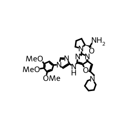 COc1cc(-n2cnc(Nc3nc(N4CCC[C@H]4C(N)=O)nc4cc(CN5CCCCC5)oc34)c2)cc(OC)c1OC